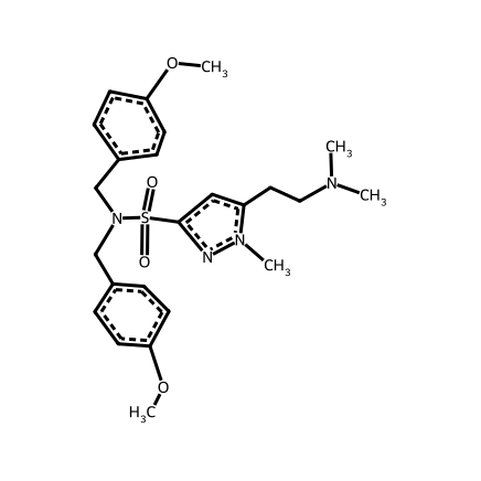 COc1ccc(CN(Cc2ccc(OC)cc2)S(=O)(=O)c2cc(CCN(C)C)n(C)n2)cc1